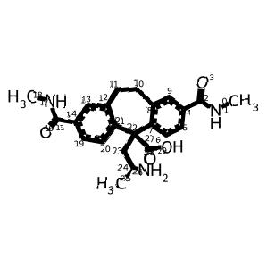 CNC(=O)c1ccc2c(c1)CCc1cc(C(=O)NC)ccc1C2(C[C@H](C)N)C(=O)O